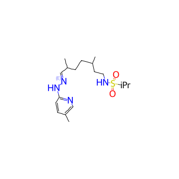 Cc1ccc(N/N=C/C(C)CCC(C)CCNS(=O)(=O)C(C)C)nc1